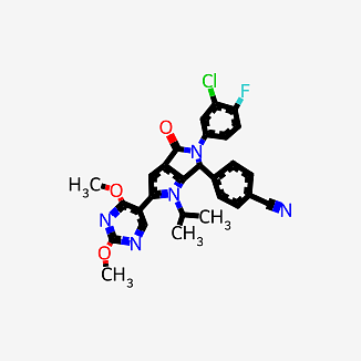 COc1ncc(-c2cc3c(n2C(C)C)C(c2ccc(C#N)cc2)N(c2ccc(F)c(Cl)c2)C3=O)c(OC)n1